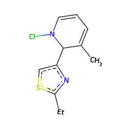 CCc1nc(C2C(C)=CC=CN2Cl)cs1